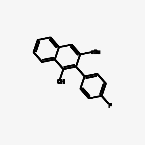 CCCCc1cc2ccccc2c(O)c1-c1ccc(F)cc1